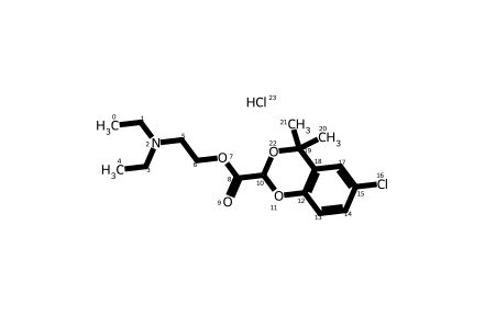 CCN(CC)CCOC(=O)C1Oc2ccc(Cl)cc2C(C)(C)O1.Cl